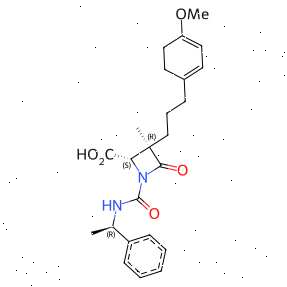 COC1=CC=C(CCC[C@@]2(C)C(=O)N(C(=O)N[C@H](C)c3ccccc3)[C@@H]2C(=O)O)CC1